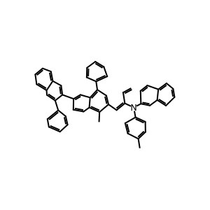 C=C/C(=C\c1cc(-c2ccccc2)c2cc(-c3cc4ccccc4cc3-c3ccccc3)ccc2c1C)N(c1ccc(C)cc1)c1ccc2ccccc2c1